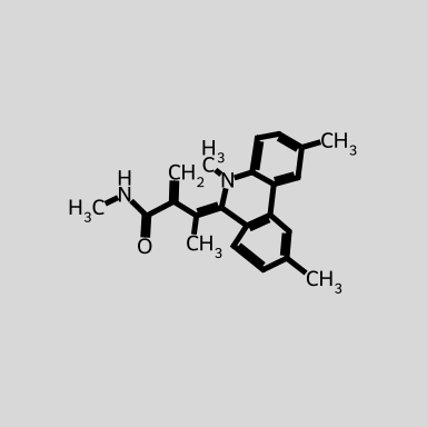 C=C(C(=O)NC)/C(C)=C1/c2ccc(C)cc2-c2cc(C)ccc2N1C